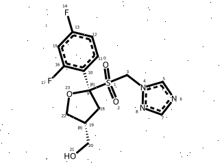 O=S(=O)(Cn1cncn1)[C@@]1(c2ccc(F)cc2F)C[C@H](CO)CO1